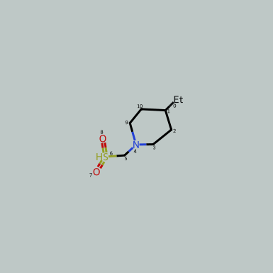 [CH2]CC1CCN(C[SH](=O)=O)CC1